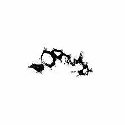 O=C(NCc1ccc2c(c1)CCN(C1=CC=C1)CC2)c1ccnc(F)c1